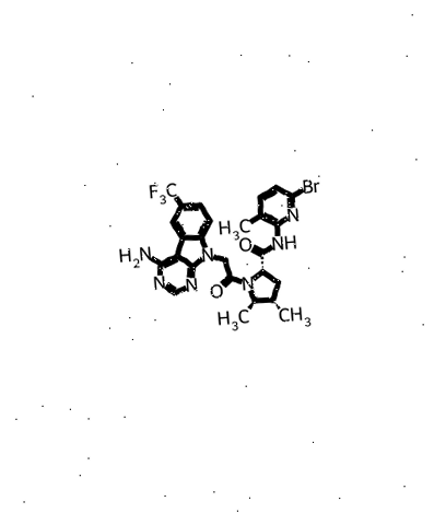 Cc1ccc(Br)nc1NC(=O)[C@@H]1C[C@H](C)[C@@H](C)N1C(=O)Cn1c2ccc(C(F)(F)F)cc2c2c(N)ncnc21